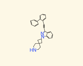 C(#Cc1nn(C2CC3(CCNCC3)C2)c2ccccc12)c1ccccc1-c1ccccc1